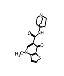 Cn1cc(C(=O)NC23CCN(CC2)CC3)c(=O)c2sccc21